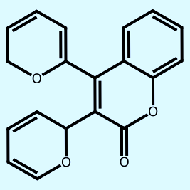 O=c1oc2ccccc2c(C2=CC=CCO2)c1C1C=CC=CO1